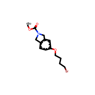 CC(C)(C)OC(=O)N1Cc2ccc(OCCCCBr)cc2C1